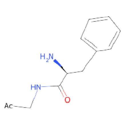 CC(=O)CNC(=O)[C@@H](N)Cc1ccccc1